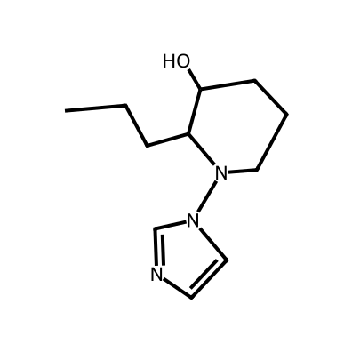 CCCC1C(O)CCCN1n1ccnc1